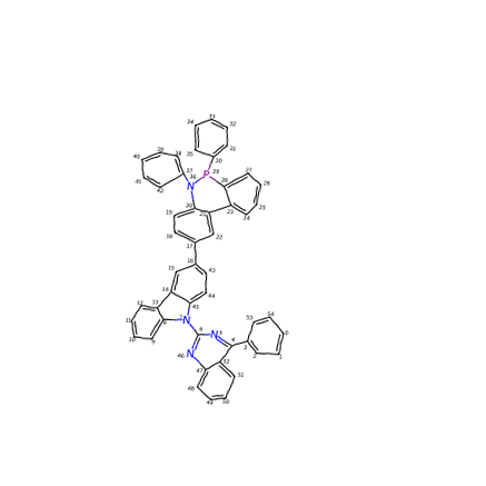 c1ccc(-c2nc(-n3c4ccccc4c4cc(-c5ccc6c(c5)-c5ccccc5P(c5ccccc5)N6c5ccccc5)ccc43)nc3ccccc23)cc1